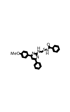 COc1ccc(-c2cc(-c3ccccc3)nc(NCSNC(=O)c3ccccc3)n2)cc1